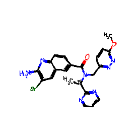 COc1ccc(CN(C(=O)c2ccc3nc(N)c(Br)cc3c2)[C@H](C)c2ncccn2)nn1